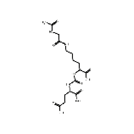 CC(=O)NCC(=O)NCCCCC(NC(=O)NC(CCC(=O)O)C(=O)O)C(=O)O